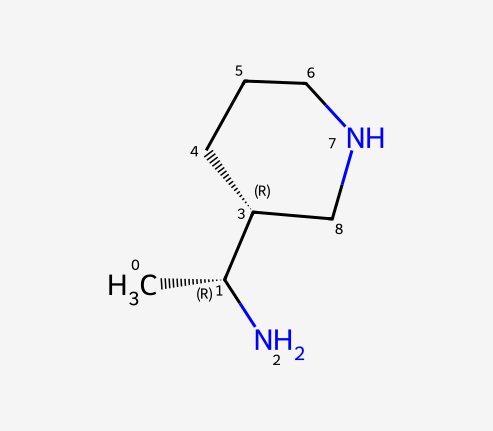 C[C@@H](N)[C@@H]1CCCNC1